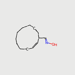 ON=CC1C=CCCCCCCCCC1